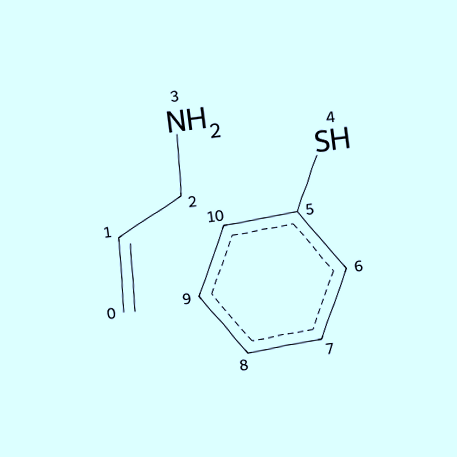 C=CCN.Sc1ccccc1